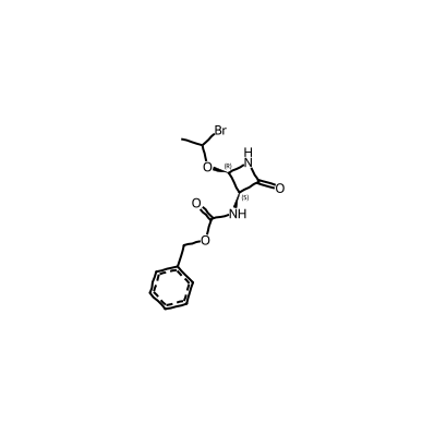 CC(Br)O[C@H]1NC(=O)[C@H]1NC(=O)OCc1ccccc1